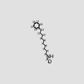 O=CNCCCCCCCCCCc1ccccc1